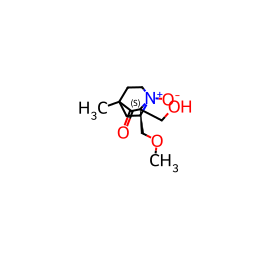 COC[C@@]1(CO)C(=O)C2(C)CC[N+]1([O-])CC2